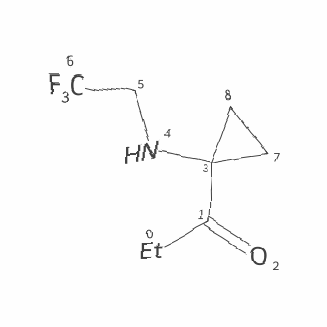 CCC(=O)C1(NCC(F)(F)F)CC1